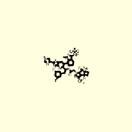 Cn1cnc(-c2nc3nc(C(Cc4cc(F)cc(F)c4)NC(=O)Cn4nc(C(F)(F)F)c5c4C(F)(F)[C@@H]4CC[C@H]54)c(-c4cccc5c(NS(C)(=O)=O)nn(C)c45)cc3s2)c1